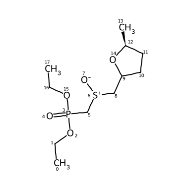 CCOP(=O)(C[S+]([O-])CC1CC[C@H](C)O1)OCC